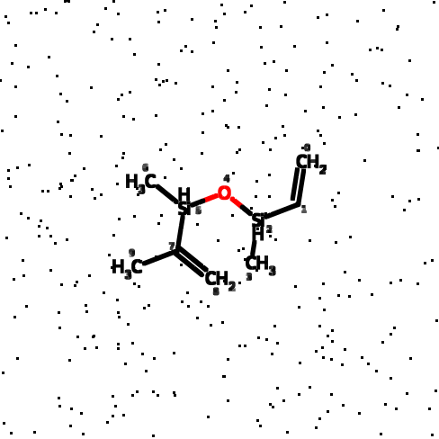 C=C[SiH](C)O[SiH](C)C(=C)C